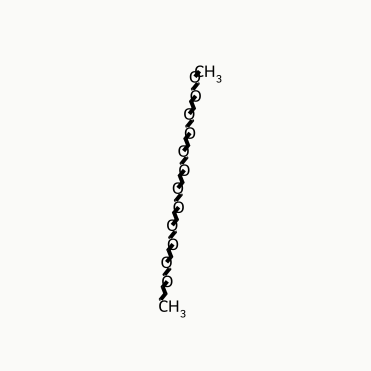 CCCCOCCOCCOCCOCCOCCOCCOCCOCCOCCOCCOCCOC